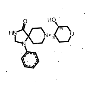 O=C1NCN(c2ccccc2)C12CCN([C@H]1CCOC[C@@H]1O)CC2